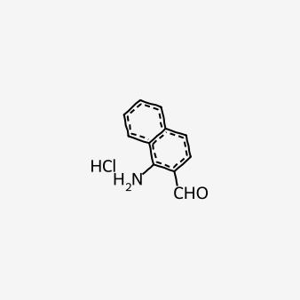 Cl.Nc1c(C=O)ccc2ccccc12